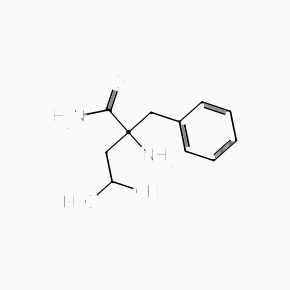 CC(C)CC(N)(Cc1ccccc1)C(N)=O